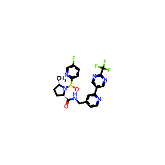 C[C@H]1CC[C@@H](C(=O)NCc2ccnc(-c3cnc(C(F)(F)F)nc3)c2)N1[S+]([O-])c1ccc(F)cn1